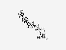 CCc1cc(Nc2nccn3c(-c4ccc(OC)c(F)c4F)cnc23)ccc1C(=O)NC1CC(NC(=O)[C@@H](N)CCCNC(=N)N)C1